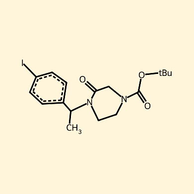 CC(c1ccc(I)cc1)N1CCN(C(=O)OC(C)(C)C)CC1=O